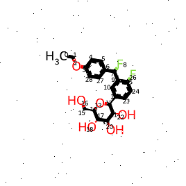 CCOc1ccc(C(F)c2cc([C@@H]3O[C@H](CO)[C@@H](O)[C@H](O)[C@H]3O)ccc2F)cc1